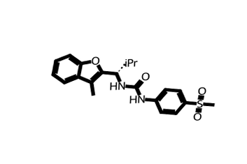 Cc1c([C@@H](NC(=O)Nc2ccc(S(C)(=O)=O)cc2)C(C)C)oc2ccccc12